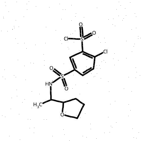 CC(NS(=O)(=O)c1ccc(Cl)c(S(=O)(=O)Cl)c1)C1CCCO1